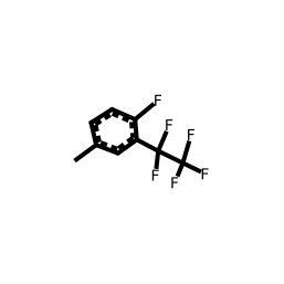 Cc1ccc(F)c(C(F)(F)C(F)(F)F)c1